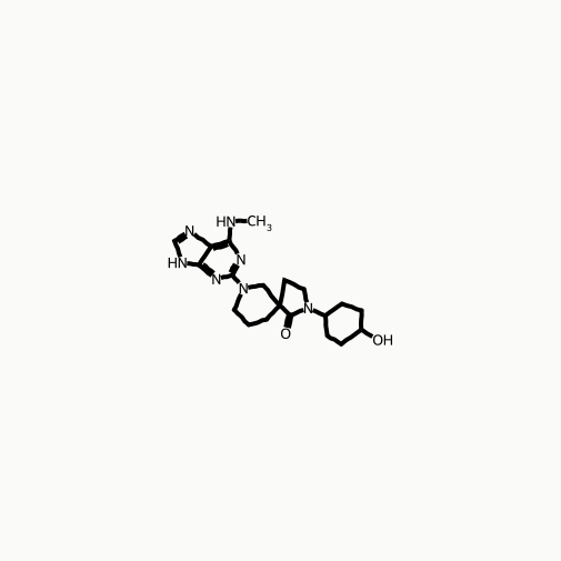 CNc1nc(N2CCCC3(CCN(C4CCC(O)CC4)C3=O)C2)nc2[nH]cnc12